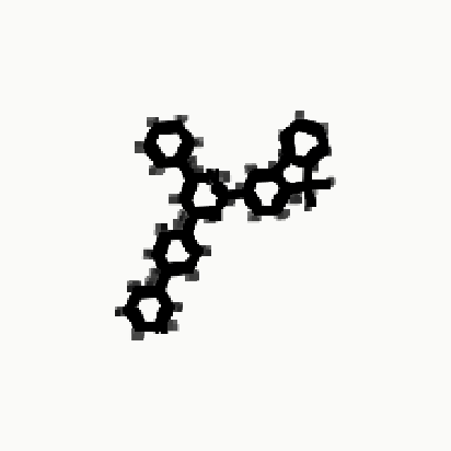 CC1(C)c2ccccc2-c2cc(-c3nc(-c4ccccc4)cc(-c4ccc(-c5cccnc5)cc4)n3)ccc21